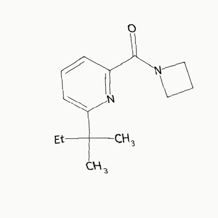 CCC(C)(C)c1cccc(C(=O)N2CCC2)n1